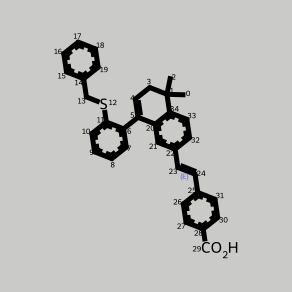 CC1(C)CC=C(c2ccccc2SCc2ccccc2)c2cc(/C=C/c3ccc(C(=O)O)cc3)ccc21